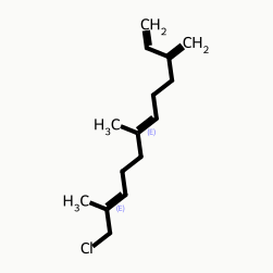 C=CC(=C)CC/C=C(\C)CC/C=C(\C)CCl